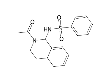 CC(=O)N1CCC2CC=CC=C2C1NS(=O)(=O)c1ccccc1